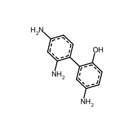 Nc1ccc(-c2cc(N)ccc2O)c(N)c1